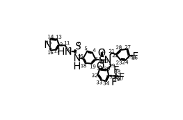 O=S(=O)(c1ccc(NC(=S)NCc2ccncc2)cc1)N(Cc1ccc(F)cc1)Cc1ccccc1C(F)(F)F